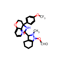 CN1C(C(=O)NC2(c3ccc(OC(F)(F)F)cc3)CCOc3cccnc32)C2=C(CCCC2)N1OC=O